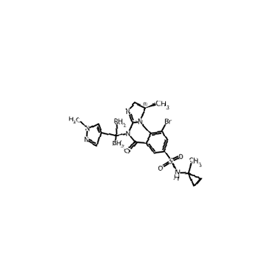 BC(B)(c1cnn(C)c1)N1C(=O)c2cc(S(=O)(=O)NC3(C)CC3)cc(Br)c2N2C1=NC[C@H]2C